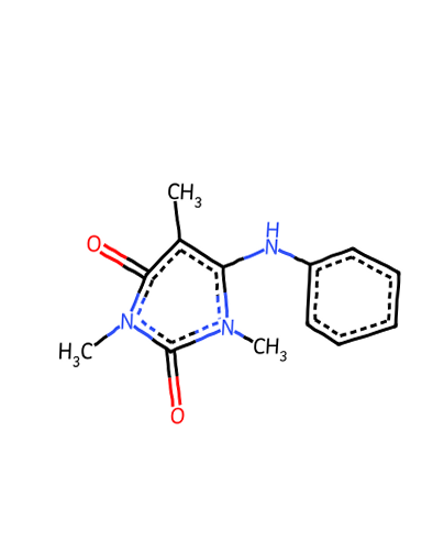 Cc1c(Nc2ccccc2)n(C)c(=O)n(C)c1=O